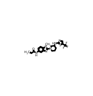 C=CC(=O)Nc1ccc2c(c1)nc(N1CCCC(Nc3ncc(C(F)(F)F)s3)C1)n2C